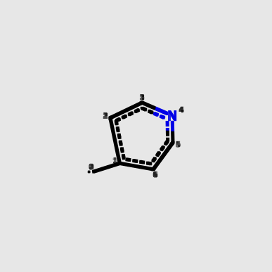 [CH2]c1ccncc1